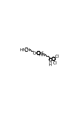 Clc1cc(Cl)c2[nH]cc(CCCNSc3ccc(OCCCN4CCNCC4)cc3)c2c1